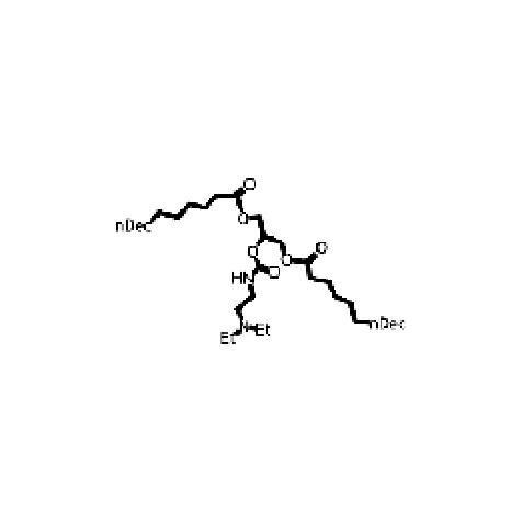 CCCCCCCCCCCCCCCC(=O)OCC(COC(=O)CCCCCCCCCCCCCCC)OC(=O)NCCN(CC)CC